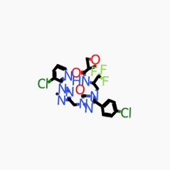 O=C(NC(Cn1c(-c2ccc(Cl)cc2)nn(Cc2ncn(-c3ncccc3Cl)n2)c1=O)C(F)(F)F)C1COC1